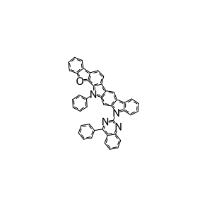 c1ccc(-c2nc(-n3c4ccccc4c4cc5c6ccc7c8ccccc8oc7c6n(-c6ccccc6)c5cc43)nc3ccccc23)cc1